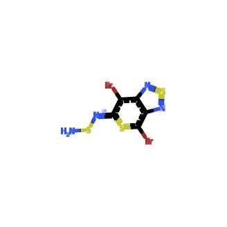 NS/N=c1\sc(Br)c2c(c1Br)N=S=N2